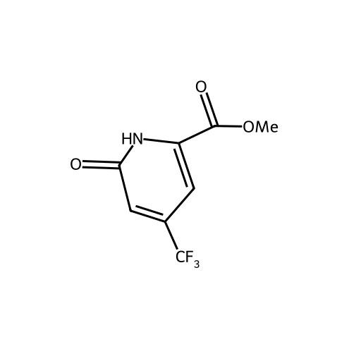 COC(=O)c1cc(C(F)(F)F)cc(=O)[nH]1